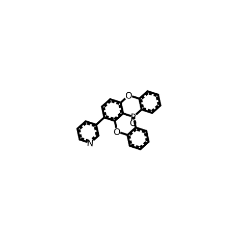 O=P12c3ccccc3Oc3ccc(-c4cccnc4)c(c31)Oc1ccccc12